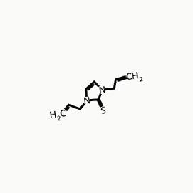 C=CCn1ccn(CC=C)c1=S